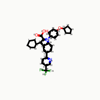 O=C(O)c1c(C2CCCCC2)c2cc(-c3ccc(C(F)(F)F)cn3)ccc2n1-c1ccc(OC2CCCC2)cc1